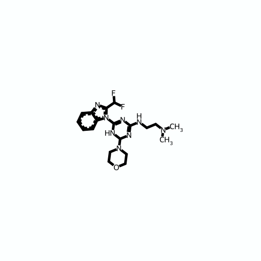 CN(C)CCNC1=NC(N2CCOCC2)NC(n2c(C(F)F)nc3ccccc32)=N1